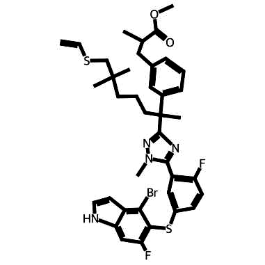 C=CSCC(C)(C)CCCC(C)(c1cccc(CC(C)C(=O)OC)c1)c1nc(-c2cc(Sc3c(F)cc4[nH]ccc4c3Br)ccc2F)n(C)n1